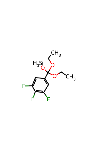 CCOC(O[SiH3])(OCC)c1cc(F)c(F)c(F)c1